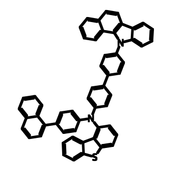 c1ccc2c(-c3ccc(N(c4ccc(-c5ccc(-n6c7ccccc7c7ccc8ccccc8c76)cc5)cc4)c4cccc5sc6ccccc6c45)cc3)cccc2c1